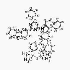 CC1CC(C)(C)c2cccc3c2C1(C)c1cccc2c4cc5c6c7ccccc7ccc6n(-c6nc(-c7ccccc7)nc(-c7ccc8sc9ccccc9c8c7)n6)c5cc4n-3c12